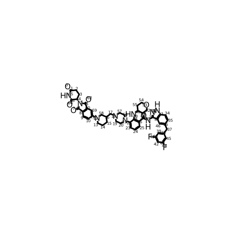 O=C1CCC(N2C(=O)c3ccc(N4CCCC(CN5CCN(c6cccc(C(=O)Nc7n[nH]c8ccc(Cc9cc(F)cc(F)c9)cc78)c6NC6CCOCC6)CC5)C4)cc3C2=O)C(=O)N1